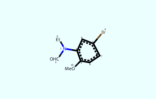 CCN(C=O)c1cc(Br)ccc1OC